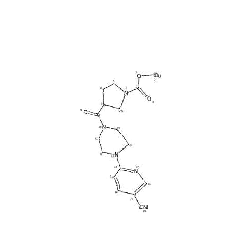 CC(C)(C)OC(=O)N1CCC(C(=O)N2CCN(c3ccc(C#N)cn3)CC2)C1